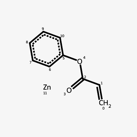 C=CC(=O)Oc1ccccc1.[Zn]